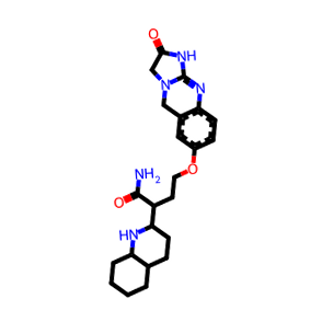 NC(=O)C(CCOc1ccc2c(c1)CN1CC(=O)NC1=N2)C1CCC2CCCCC2N1